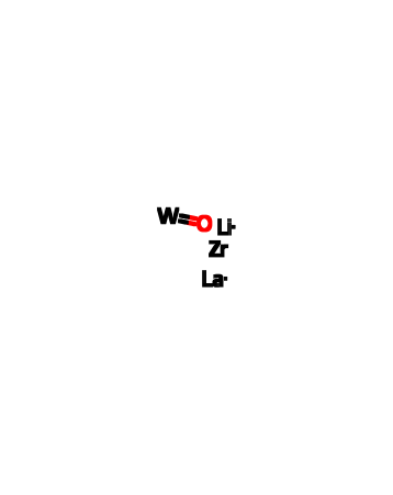 [La].[Li].[O]=[W].[Zr]